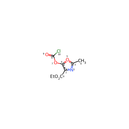 CCOC(=O)c1nc(C)oc1OC(=O)Cl